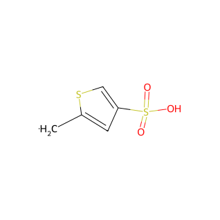 [CH2]c1cc(S(=O)(=O)O)cs1